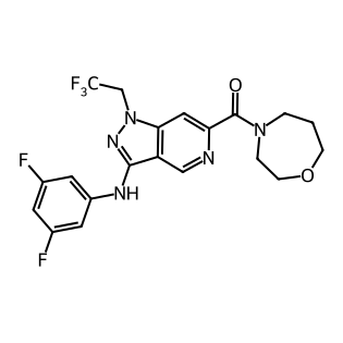 O=C(c1cc2c(cn1)c(Nc1cc(F)cc(F)c1)nn2CC(F)(F)F)N1CCCOCC1